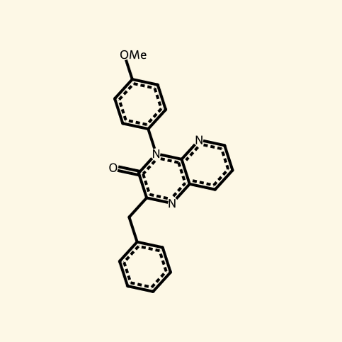 COc1ccc(-n2c(=O)c(Cc3ccccc3)nc3cccnc32)cc1